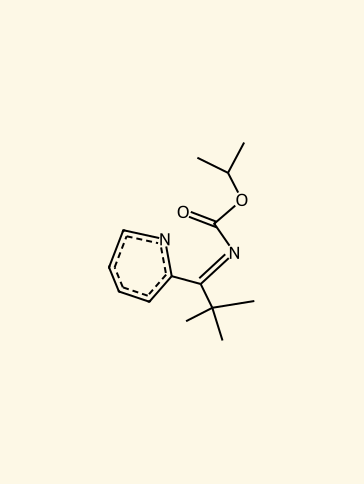 CC(C)OC(=O)/N=C(\c1ccccn1)C(C)(C)C